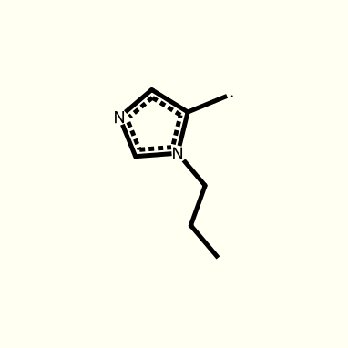 [CH2]c1cncn1CCC